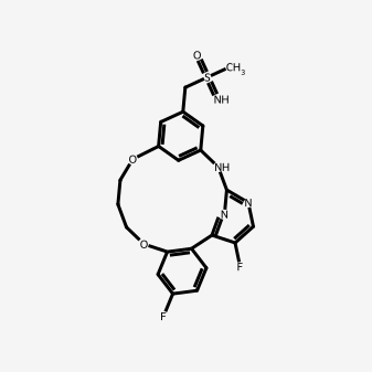 CS(=N)(=O)Cc1cc2cc(c1)OCCCOc1cc(F)ccc1-c1nc(ncc1F)N2